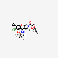 CC1(C)OC[C@H](C(=O)N2CCC([C@@H](N[S@@+]([O-])C(C)(C)C)c3cc(Cl)c(C4CC4)cc3O)CC2)O1